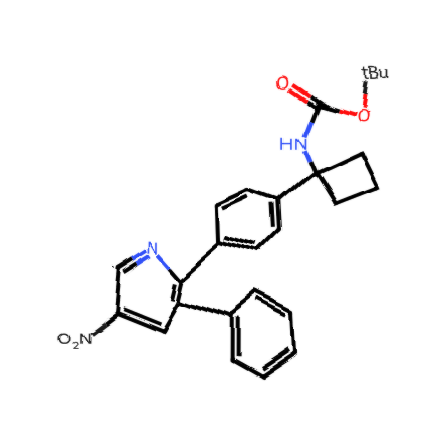 CC(C)(C)OC(=O)NC1(c2ccc(-c3n[c]c([N+](=O)[O-])cc3-c3ccccc3)cc2)CCC1